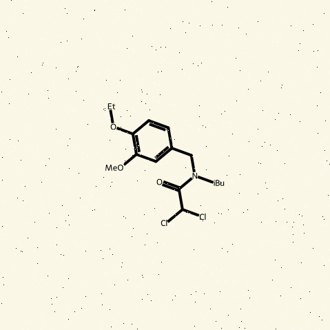 CCOc1ccc(CN(C(=O)C(Cl)Cl)C(C)CC)cc1OC